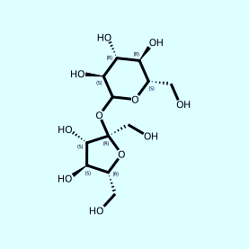 OC[C@@H]1OC(O[C@@]2(CO)O[C@H](CO)[C@@H](O)[C@@H]2O)[C@@H](O)[C@H](O)[C@H]1O